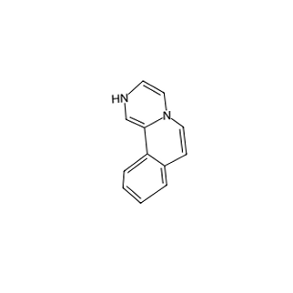 C1=CN2C=Cc3ccccc3C2=CN1